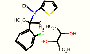 CCN(c1cccs1)C(C)(C(=O)O)c1ccccc1Cl.O=C(O)C(O)C(O)C(=O)O